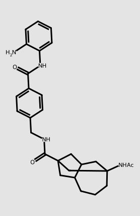 CC(=O)NC12CCCC3CC(C(=O)NCc4ccc(C(=O)Nc5ccccc5N)cc4)(CC3C1)C2